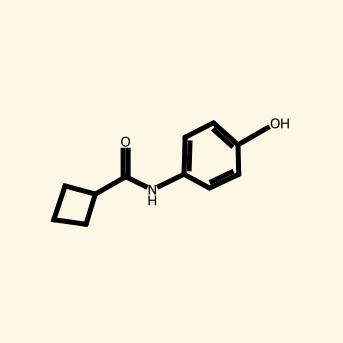 O=C(Nc1ccc(O)cc1)C1CCC1